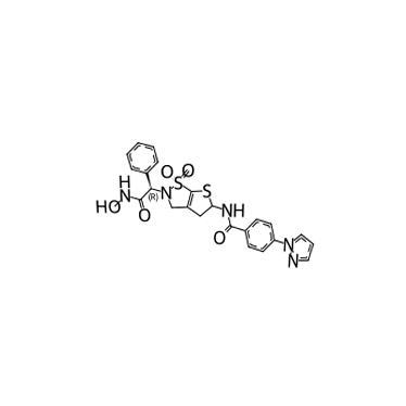 O=C(NC1CC2=C(S1)S(=O)(=O)N([C@@H](C(=O)NO)c1ccccc1)C2)c1ccc(-n2cccn2)cc1